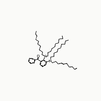 CCCCCCCCCCN(CCCCCCCCCC)c1cccc(C(=O)c2ccccc2)c1N(CCCCCCCCCC)CCCCCCCCCC